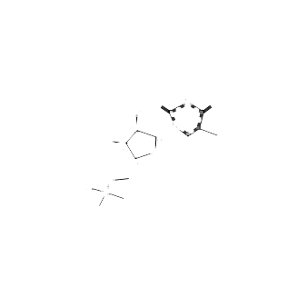 Cc1cn([C@@H]2O[C@H](CO[Si](C)(C)C(C)(C)C)[C@@H](O)[C@H]2O)c(=O)[nH]c1=O